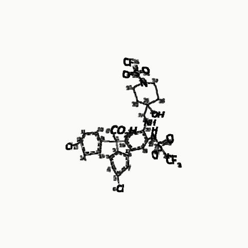 O=C(O)C(c1ccc(Cl)cc1)(c1ccc(Cl)cc1)c1ccc(NS(=O)(=O)C(F)(F)F)c(NCC2(O)CCN(S(=O)(=O)C(F)(F)F)CC2)c1